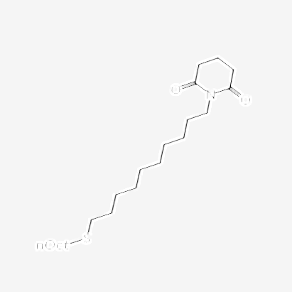 CCCCCCCCSCCCCCCCCCCN1C(=O)CCCC1=O